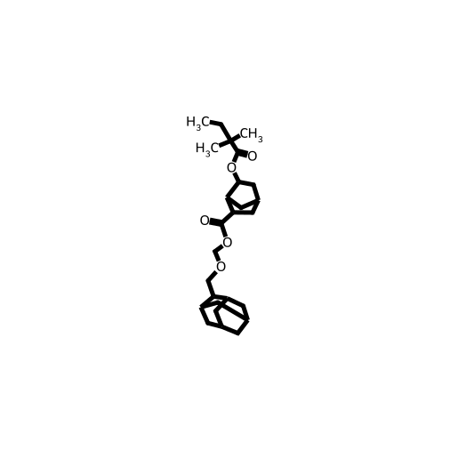 CCC(C)(C)C(=O)OC1CC2CC(C(=O)OCOCC3C4CC5CC(C4)CC3C5)C1C2